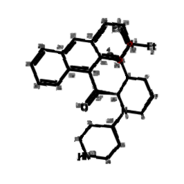 CCN(CC)C(=O)C1CCCN(C2CCNCC2)[C@H]1C(=O)c1c2ccccc2cc2ccccc12